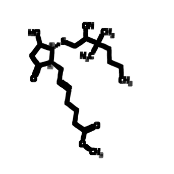 CCCCC(C)(C)C(O)CS[C@H]1C(O)CC(=O)[C@@H]1CC=CCCCC(=O)OC